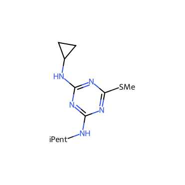 CCCC(C)Nc1nc(NC2CC2)nc(SC)n1